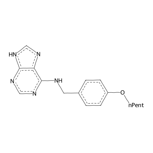 CCCCCOc1ccc(CNc2ncnc3[nH]cnc23)cc1